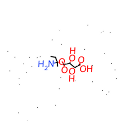 CCC(C)(N)OC(=O)C(O)C(O)C(=O)O